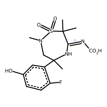 CN1CC(C)(c2cc(O)ccc2F)N/C(=N\C(=O)O)C(C)(C)S1(=O)=O